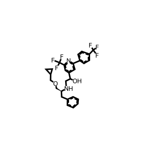 OC(CN[C@H](COCC1CC1)Cc1ccccc1)c1cc(-c2ccc(C(F)(F)F)cc2)nc(C(F)(F)F)c1